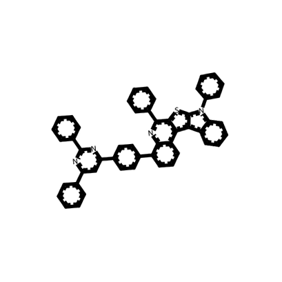 c1ccc(-c2cc(-c3ccc(-c4cccc5c4nc(-c4ccccc4)c4sc6c(c7ccccc7n6-c6ccccc6)c45)cc3)nc(-c3ccccc3)n2)cc1